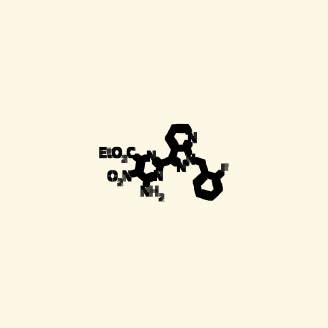 CCOC(=O)c1nc(-c2nn(Cc3ccccc3F)c3ncccc23)nc(N)c1[N+](=O)[O-]